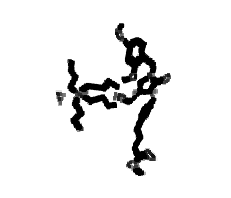 CCCC[N+](CCCC)(CCCC)CCCC.COC(=O)CCCC#CC[C@H]1C(=O)N(Cc2ccc(OC)cc2OC)C[C@@H]1CO.[F-]